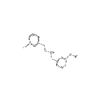 CCCOc1cccc(CNCCc2cccc(Cl)c2)c1